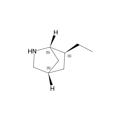 CC[C@H]1C[C@@H]2CN[C@H]1C2